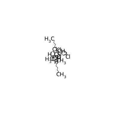 CCCCCCCC(C)(C)[SiH](O[SiH](c1cc(Cl)ccc1Cl)C(C)(C)CCCCCCC)c1cc(Cl)ccc1Cl